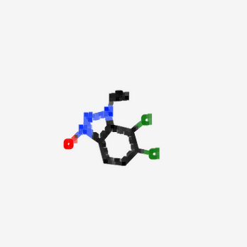 CCCCn1n[n+]([O-])c2ccc(Cl)c(Cl)c21